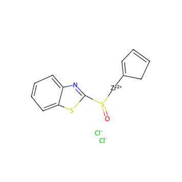 O=[S]([Zr+2][C]1=CC=CC1)c1nc2ccccc2s1.[Cl-].[Cl-]